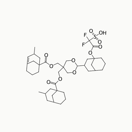 CC1C=C2CCCC(C(=O)OCC3(COC(=O)C45CCCC(CC(C)C4)C5)COC(C4CC5CCCC(OC(=O)C(F)(F)S(=O)(=O)O)(C5)C4)OC3)(C2)C1